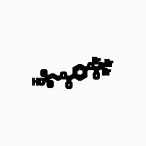 O=C(OCCS(=O)(=O)O)c1ccc(OC(=O)C(Br)(Br)Br)cc1